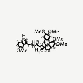 COc1ccc2[nH]cc(CCNC(=O)CC[N+]3(C)CCc4cc(OC)c(OC)cc4C3Cc3ccc(OC)c(OC)c3)c2c1